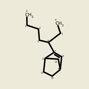 CCCCC(CC)C1=CC2CCC1C2